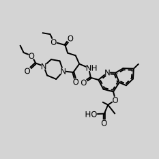 CCOC(=O)CCC(NC(=O)c1cc(OC(C)(C)C(=O)O)c2ccc(C)cc2n1)C(=O)N1CCN(C(=O)OCC)CC1